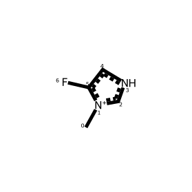 C[n+]1c[nH]cc1F